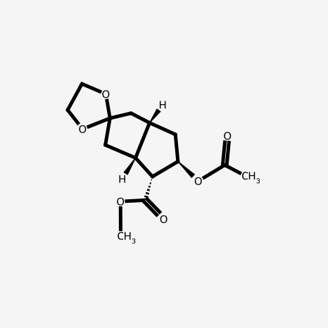 COC(=O)[C@@H]1[C@@H]2CC3(C[C@@H]2C[C@H]1OC(C)=O)OCCO3